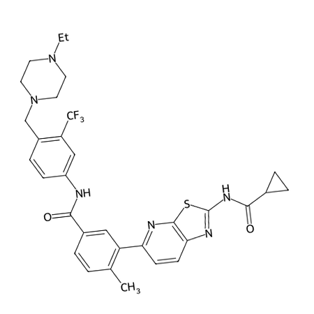 CCN1CCN(Cc2ccc(NC(=O)c3ccc(C)c(-c4ccc5nc(NC(=O)C6CC6)sc5n4)c3)cc2C(F)(F)F)CC1